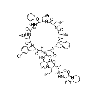 CCCC(NC(=O)[C@H](C)N(C)C(=O)C(CC(C)C)N(C)C(=O)C(CC(C)C)NC(=O)[C@H]1NC(=O)[C@H](Cc2cccc(Cl)c2)N(C)C(=O)C(CO)NC(=O)[C@H](Cc2ccccc2)NC(=O)C(CC(C)C)N(C)C(=O)C(CC(C)C)N(C)C(=O)C(C(C)CC)NC(=O)C(Cc2ccccc2)N2C(=O)C12)C(=O)N1CCCCC1